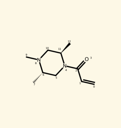 C=CC(=O)N1C[C@H](C)N(C)C[C@H]1C